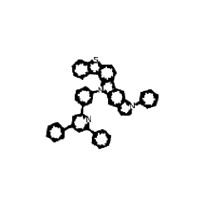 c1ccc(-c2cc(-c3ccccc3)nc(-c3cccc(-n4c5cc6ccn(-c7ccccc7)c6cc5c5ccc6sc7ccccc7c6c54)c3)c2)cc1